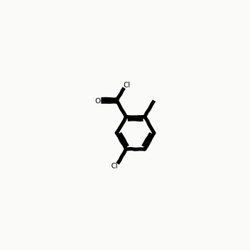 Cc1ccc(Cl)cc1C(=O)Cl